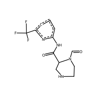 O=CN1CCNCC1C(=O)Nc1cccc(C(F)(F)F)n1